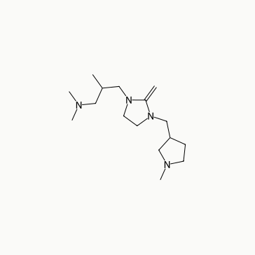 C=C1N(CC(C)CN(C)C)CCN1CC1CCN(C)C1